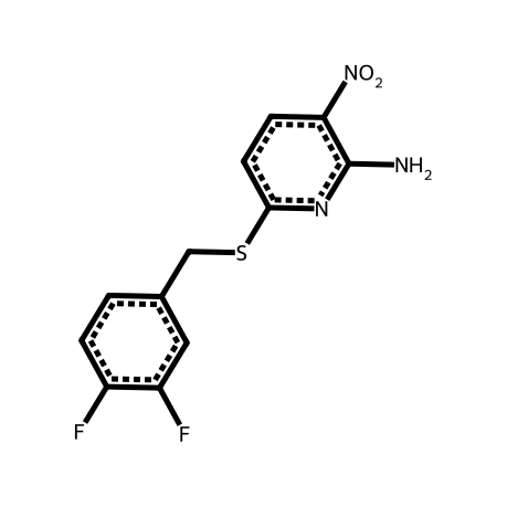 Nc1nc(SCc2ccc(F)c(F)c2)ccc1[N+](=O)[O-]